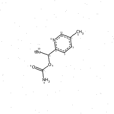 Cc1ccc(C(OC(N)=O)C(C)(C)C)nc1